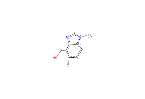 Cn1cnc2c(CO)c(Br)ccc21